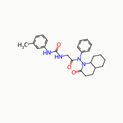 Cc1cccc(NC(=O)NCC(=O)N(c2ccccc2)N2C(=O)CCC3CCCCC32)c1